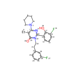 CCc1c(N2CCCCC2)nc(-c2cccc(F)c2O)n(CCc2cccc(F)c2)c1=O